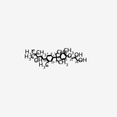 CCC(CC)(c1ccc(C=CC(O)C(C)(C)C)c(C)c1)c1ccc(OCC(O)CO)c(C)c1